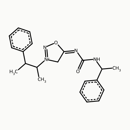 CC(NC(=O)/N=C1\C[N+](C(C)C(C)c2ccccc2)=NO1)c1ccccc1